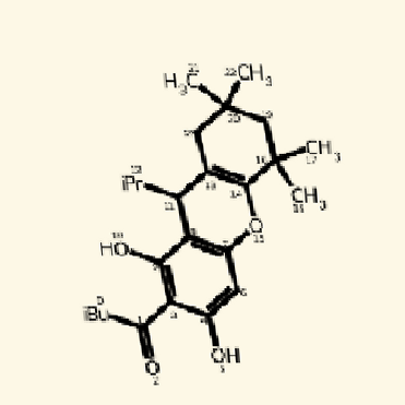 CCC(C)C(=O)c1c(O)cc2c(c1O)C(C(C)C)C1=C(O2)C(C)(C)CC(C)(C)C1